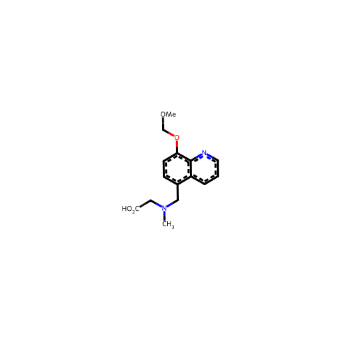 COCOc1ccc(CN(C)CC(=O)O)c2cccnc12